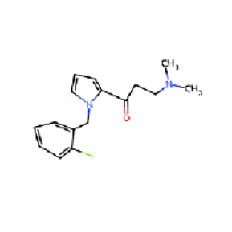 CN(C)CCC(=O)c1cccn1Cc1ccccc1F